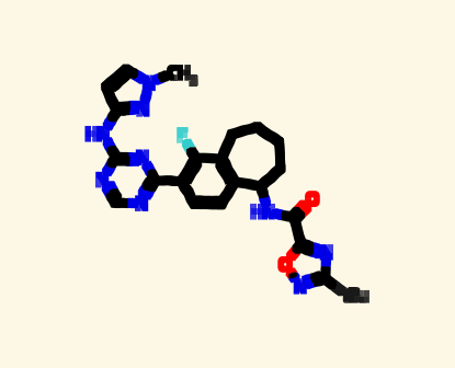 Cn1ccc(Nc2ncnc(-c3ccc4c(c3F)CCCCC4NC(=O)c3nc(C(C)(C)C)no3)n2)n1